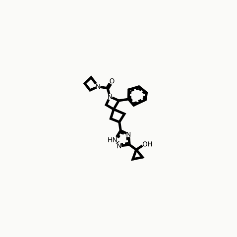 O=C(N1CCC1)N1CC2(CC(c3nc(C4(O)CC4)n[nH]3)C2)C1c1ccccc1